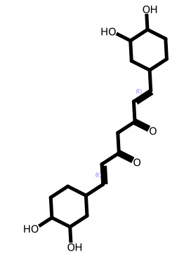 O=C(/C=C/C1CCC(O)C(O)C1)CC(=O)/C=C/C1CCC(O)C(O)C1